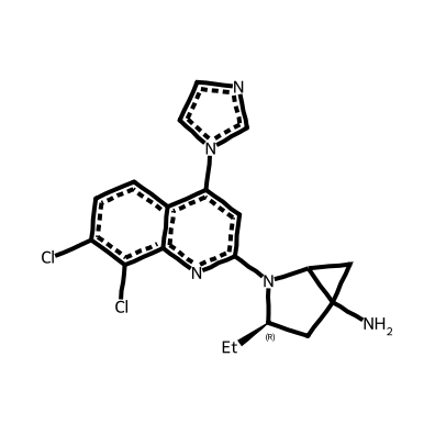 CC[C@@H]1CC2(N)CC2N1c1cc(-n2ccnc2)c2ccc(Cl)c(Cl)c2n1